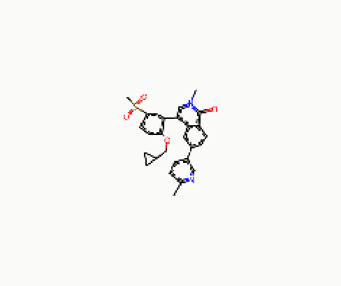 Cc1ccc(-c2ccc3c(=O)n(C)cc(-c4cc(S(C)(=O)=O)ccc4OCC4CC4)c3c2)cn1